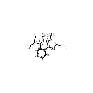 CCOC(OCC)c1ncncc1C(NC)C(C)C